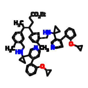 CCOC(=O)CCC(c1ccc(C)c(CNC2(c3cnccc3-c3ccccc3OC3CC3)CC2)c1)C(C)c1ccc(C)c(CNC2(c3cnccc3-c3ccccc3OC3CC3)CC2)c1